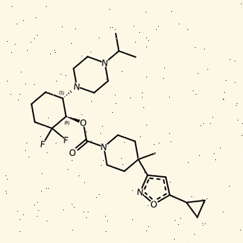 CC(C)N1CCN([C@H]2CCCC(F)(F)[C@@H]2OC(=O)N2CCC(C)(c3cc(C4CC4)on3)CC2)CC1